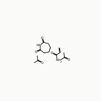 C=CC(N)=O.CC(C)=O.CC(C)=O.O=C1CCCCC(=O)N1